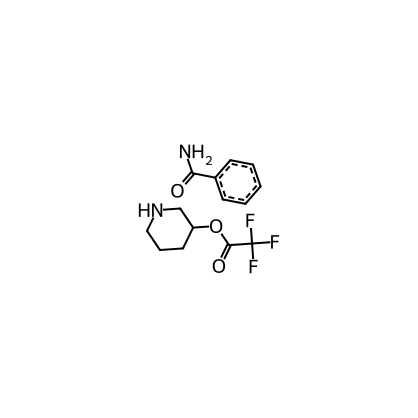 NC(=O)c1ccccc1.O=C(OC1CCCNC1)C(F)(F)F